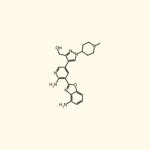 CN1CCC(n2cc(-c3cnc(N)c(-c4nc5c(N)cccc5o4)c3)c(CO)n2)CC1